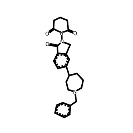 O=C1c2ccc(C3CCCN(Cc4ccccc4)CC3)cc2CN1N1C(=O)CCCC1=O